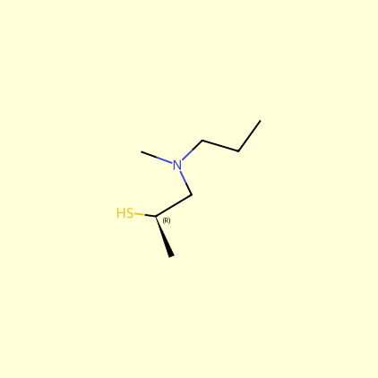 CCCN(C)C[C@@H](C)S